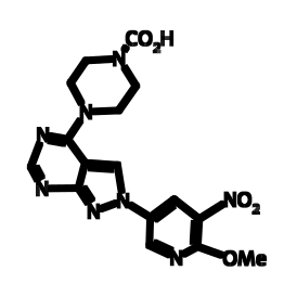 COc1ncc(-n2cc3c(N4CCN(C(=O)O)CC4)ncnc3n2)cc1[N+](=O)[O-]